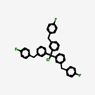 Fc1ccc(Cc2cccc([Si](Cl)(c3cccc(Cc4ccc(F)cc4)c3)c3cccc(Cc4ccc(F)cc4)c3)c2)cc1